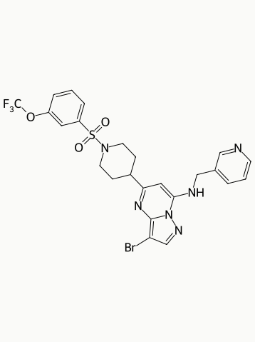 O=S(=O)(c1cccc(OC(F)(F)F)c1)N1CCC(c2cc(NCc3cccnc3)n3ncc(Br)c3n2)CC1